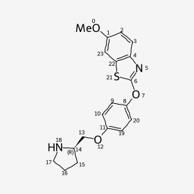 COc1ccc2nc(Oc3ccc(OC[C@H]4CCCN4)cc3)sc2c1